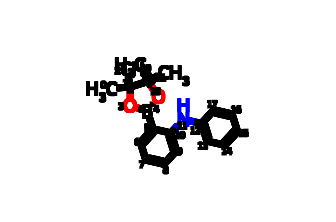 CC1(C)OB(c2ccccc2Nc2ccccc2)OC1(C)C